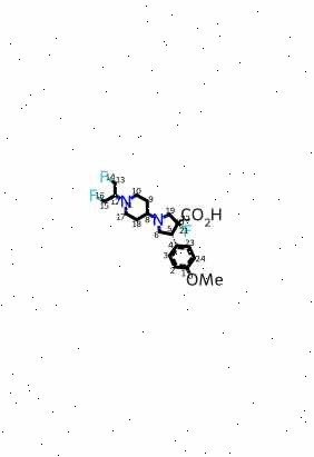 COc1ccc([C@@H]2CN(C3CCN(C(CF)CF)CC3)C[C@@]2(F)C(=O)O)cc1